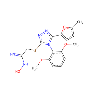 COc1cccc(OC)c1-n1c(SCC(=N)NO)nnc1-c1ccc(C)o1